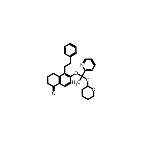 CC(Oc1ccc2c(c1CCc1ccccc1)CCCC2=O)(OC1CCCCO1)c1ccccn1